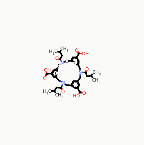 CC(C)CC(=O)N1Cc2cc(cc(C(=O)O)c2)CN(C(=O)CC(C)C)Cc2cc(cc(C(=O)O)c2)CN(C(=O)CC(C)C)Cc2cc(cc(C(=O)O)c2)C1